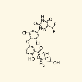 B[C@]1(NS(=O)(=O)c2cc(Oc3c(Cl)cc(-n4nc(C(F)F)c(=O)[nH]c4=O)cc3Cl)ccc2O)C[C@H](O)C1